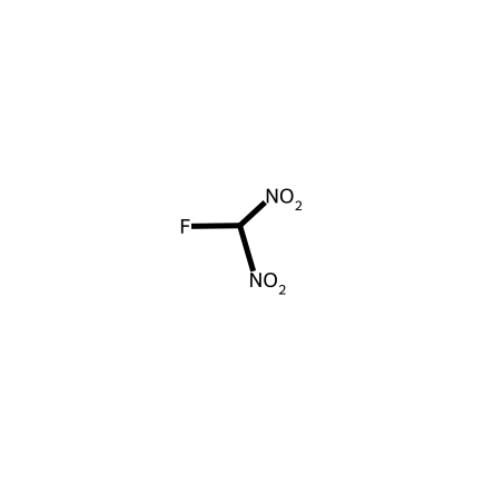 O=[N+]([O-])C(F)[N+](=O)[O-]